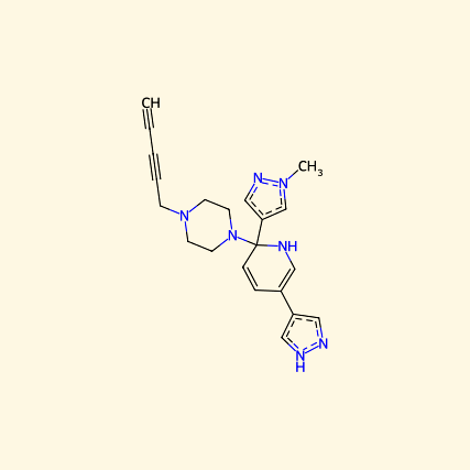 C#CC#CCN1CCN(C2(c3cnn(C)c3)C=CC(c3cn[nH]c3)=CN2)CC1